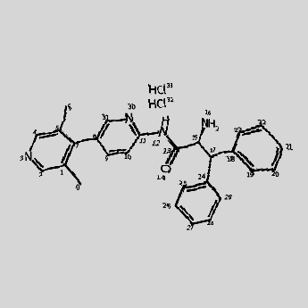 Cc1cncc(C)c1-c1ccc(NC(=O)[C@@H](N)C(c2ccccc2)c2ccccc2)nc1.Cl.Cl